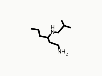 CCCC(CCN)NCC(C)C